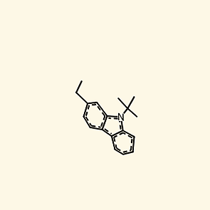 CCc1ccc2c3ccccc3n(C(C)(C)C)c2c1